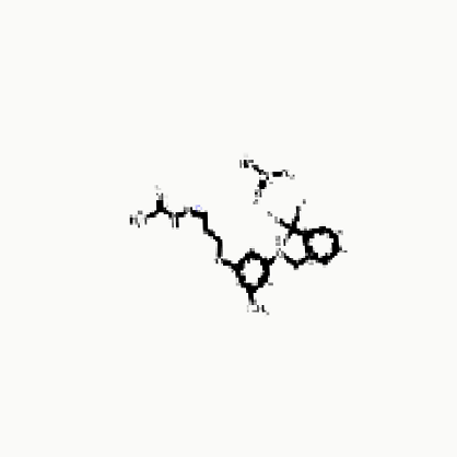 Cc1cc(OCC/C=N\NC(=N)N)cc(OCc2ccccc2C(F)(F)F)c1.O=[N+]([O-])O